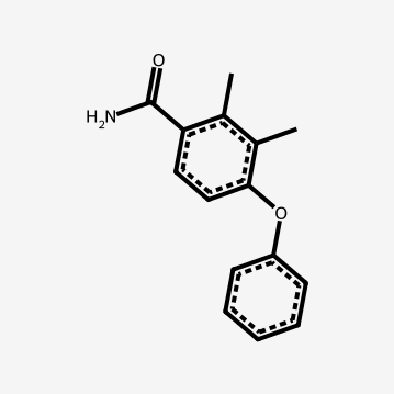 Cc1c(Oc2ccccc2)ccc(C(N)=O)c1C